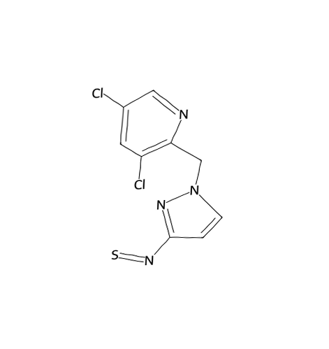 S=Nc1ccn(Cc2ncc(Cl)cc2Cl)n1